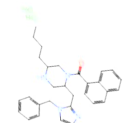 CCCCC1CN(C(=O)c2cccc3ccccc23)C(Cc2nccn2Cc2ccccc2)CN1.Cl.Cl